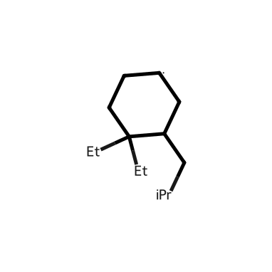 CCC1(CC)CC[CH]CC1CC(C)C